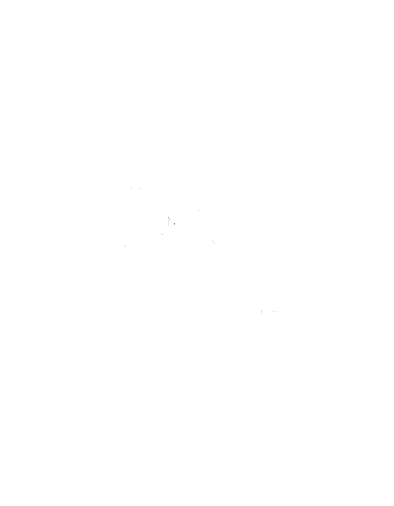 CCCCOc1ccc(C2(CNC(=O)C(c3ccccc3)c3ccccc3)CCCC2)cc1